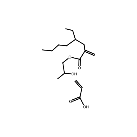 C=C(CC(CC)CCCC)C(=O)OCC(C)O.C=CC(=O)O